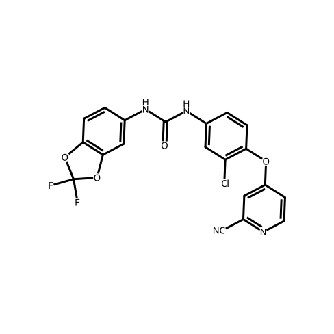 N#Cc1cc(Oc2ccc(NC(=O)Nc3ccc4c(c3)OC(F)(F)O4)cc2Cl)ccn1